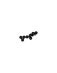 CC1(C)c2c(ccc3c2oc2ccccc23)-c2ccc3c(c21)c1ccccc1n3-c1ccc(-c2ccc3c4ccccc4c4ccccc4c3c2)cc1